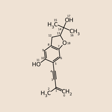 C=C(C)C#Cc1cc2c(cc1O)CC(C(C)(C)O)O2